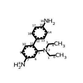 CCN(CC)c1cc(N)ccc1-c1ccc(N)cc1